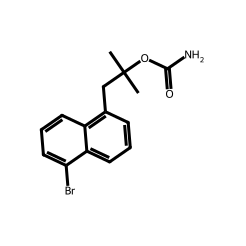 CC(C)(Cc1cccc2c(Br)cccc12)OC(N)=O